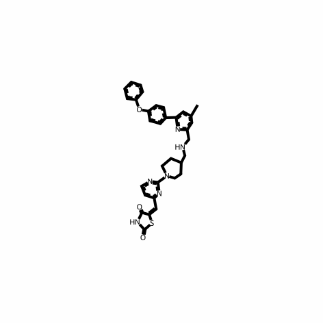 Cc1cc(CNCC2CCN(c3nccc(C=C4SC(=O)NC4=O)n3)CC2)nc(-c2ccc(Oc3ccccc3)cc2)c1